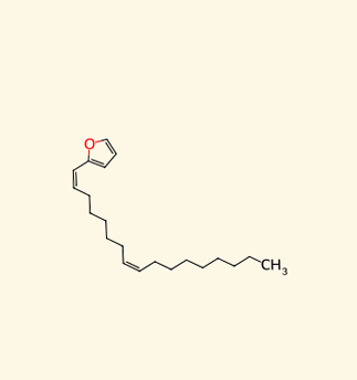 CCCCCCCC/C=C\CCCCC/C=C\c1ccco1